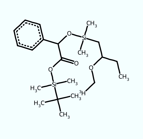 [3H]COC(CC)C[Si](C)(C)OC(C(=O)O[Si](C)(C)C(C)(C)C)c1ccccc1